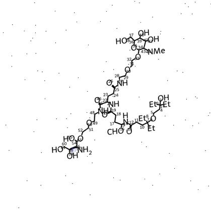 CCC(O)(CC)CCOC(CC)(CC)CCC(=O)NC(C=O)CCC(=O)NC(CCC(=O)NCCOCCOC1OC(CO)C(O)C(O)C1NC)C(=O)NCCOCCOC(O)/C(N)=C(/O)CO